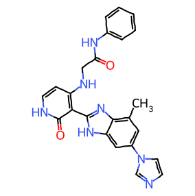 Cc1cc(-n2ccnc2)cc2[nH]c(-c3c(NCC(=O)Nc4ccccc4)cc[nH]c3=O)nc12